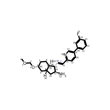 COCO[C@@H]1CC[C@@H]2[C@@H](C1)C[C@H](N)[C@H]2/C=C/c1ccc(-c2cccc(F)c2)cn1